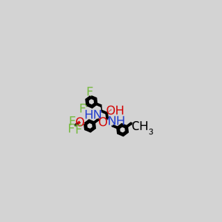 CCc1cccc(CNC[C@@H](O)[C@H](Cc2cc(F)cc(F)c2)NC(=O)c2cccc(OC(F)(F)F)c2)c1